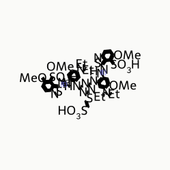 CCN(CC)c1cc(Nc2nc(Nc3cc(N(CC)CC)c(OC)cc3/N=N/c3snc4ccc(OC)c(S(=O)(=O)O)c34)nc(SCCS(=O)(=O)O)n2)c(/N=N/c2snc3ccc(OC)c(S(=O)(=O)O)c23)cc1OC